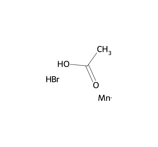 Br.CC(=O)O.[Mn]